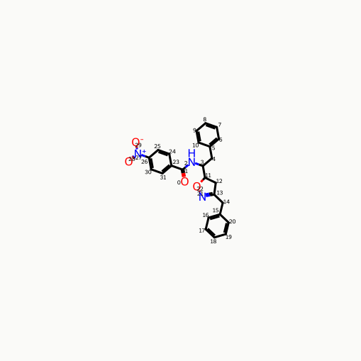 O=C(NC(Cc1ccccc1)C1CC(Cc2ccccc2)=NO1)c1ccc([N+](=O)[O-])cc1